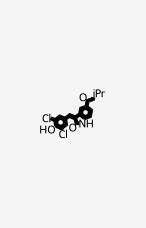 CC(C)CC(=O)c1ccc2c(c1)C(=Cc1cc(Cl)c(O)c(Cl)c1)C(=O)N2